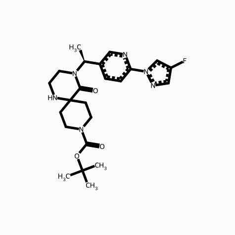 C[C@@H](c1ccc(-n2cc(F)cn2)nc1)N1CCNC2(CCN(C(=O)OC(C)(C)C)CC2)C1=O